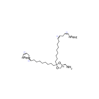 CCCCC/C=C\C/C=C\CCCCCCCCC1(CCCCCCCC/C=C\C/C=C\CCCCC)OC[C@H](CN)O1